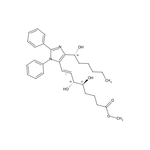 CCCCC[C@@H](O)c1nc(-c2ccccc2)n(-c2ccccc2)c1/C=C/[C@@H](O)[C@@H](O)CCCC(=O)OC